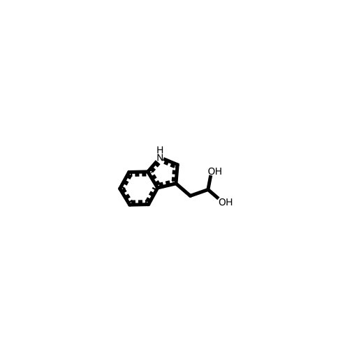 OC(O)Cc1c[nH]c2ccccc12